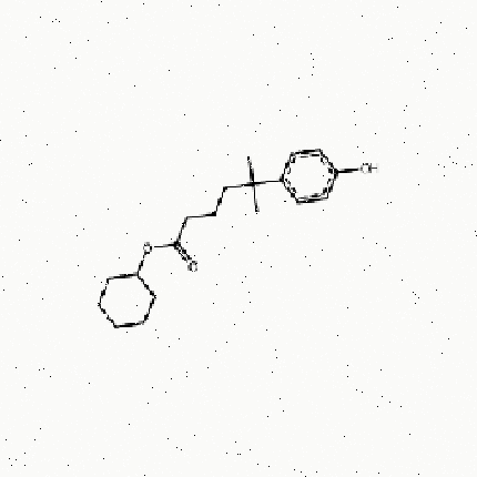 CC(C)(CCCC(=O)OC1CCCCC1)c1ccc(O)cc1